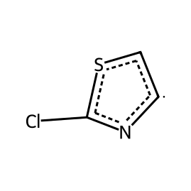 Clc1n[c]cs1